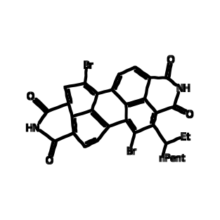 CCCCCC(CC)c1c2c3c(ccc4c5c(Br)cc6c7c(ccc(c(c1Br)c34)c75)C(=O)NC6=O)C(=O)NC2=O